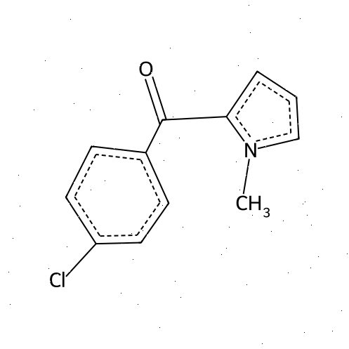 Cn1cccc1C(=O)c1ccc(Cl)cc1